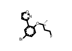 C[C@H](CCF)Oc1ccc(Br)cc1-c1ccon1